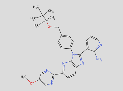 COc1cnc(-c2ccc3nc(-c4cccnc4N)n(-c4ccc(CO[Si](C)(C)C(C)(C)C)cc4)c3n2)nc1